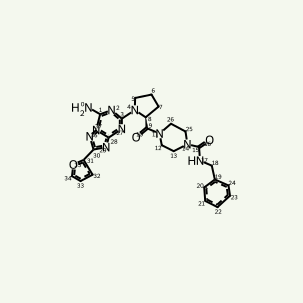 Nc1nc(N2CCC[C@H]2C(=O)N2CCN(C(=O)NCc3ccccc3)CC2)nc2nc(-c3ccco3)nn12